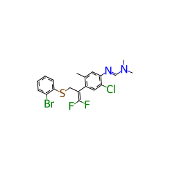 Cc1cc(N=CN(C)C)c(Cl)cc1C(CSc1ccccc1Br)=C(F)F